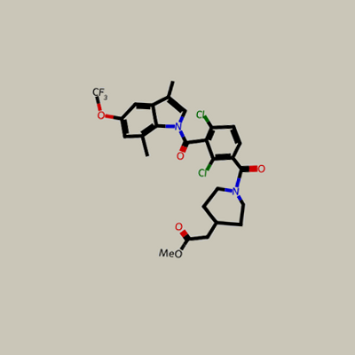 COC(=O)CC1CCN(C(=O)c2ccc(Cl)c(C(=O)n3cc(C)c4cc(OC(F)(F)F)cc(C)c43)c2Cl)CC1